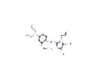 [C-]#[N+]c1nc(N=Nc2ccc(N(CCC)CCC)cc2/N=C\OC)n(CC=C)c1[N+]#[C-]